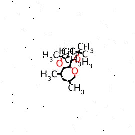 CC1COC(COC(C)(C)C)C(OC(C)(C)C)C(C)C1